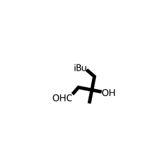 CCC(C)CC(C)(O)CC=O